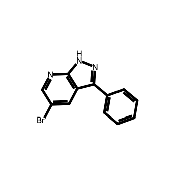 Brc1cnc2[nH]nc(-c3ccccc3)c2c1